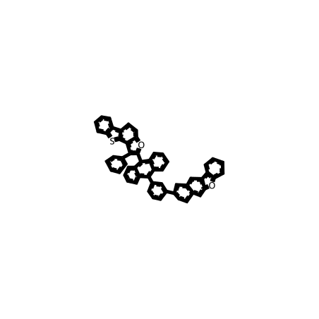 c1ccc(-c2c(-c3c4ccccc4c(-c4cccc(-c5ccc6cc7oc8ccccc8c7cc6c5)c4)c4ccccc34)oc3ccc4c5ccccc5sc4c23)cc1